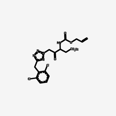 C=CCOC(=O)NC(CC(=O)OCC)C(=O)Cn1nnc(Cc2c(Cl)cccc2Cl)n1